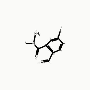 CN(N)C(=O)c1cc(I)ccc1[C]=O